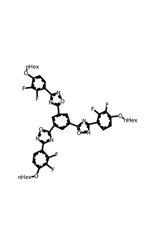 CCCCCCOc1ccc(-c2noc(-c3cc(-c4nc(-c5ccc(OCCCCCC)c(F)c5F)no4)cc(-c4nc(-c5ccc(OCCCCCC)c(F)c5F)no4)c3)n2)c(F)c1F